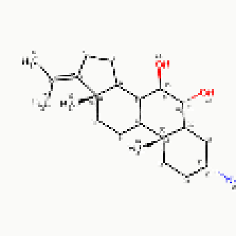 CC(C)=C1CCC2C3C(CC[C@]12C)[C@@]1(C)CC[C@@H](N)CC1[C@@H](O)[C@@H]3O